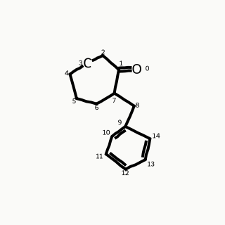 O=C1CCCCCC1Cc1ccccc1